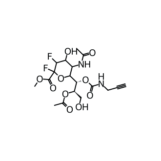 C#CCNC(=O)O[C@@H](C1OC(F)(C(=O)OC)C(F)C(O)C1NC(C)=O)[C@@H](CO)OC(C)=O